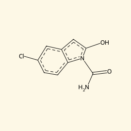 NC(=O)n1c(O)cc2cc(Cl)ccc21